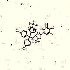 COc1ccc(C(c2ccccc2)(c2ccc(OC)cc2)C(O)[C@@]2(CNC(=O)C(F)(F)F)O[C@@H](n3cc(C)c(=O)[nH]c3=O)C[C@@H]2O)cc1